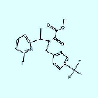 COC(=O)C(=O)N(Cc1ccc(C(F)(F)F)cn1)C(C)c1cccc(F)n1